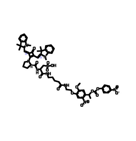 COc1cc(C(C)OC(=O)Oc2ccc([N+](=O)[O-])cc2)c([N+](=O)[O-])cc1OCCNC(=O)CCCCNC(=O)C(CS(=O)(=O)O)NC(=O)[C@H]1CCCN1C1=C(/C=C2/N(C)c3ccccc3C2(C)C)C(=O)/C1=C\C1=[N+](C)c2ccccc2C1(C)C